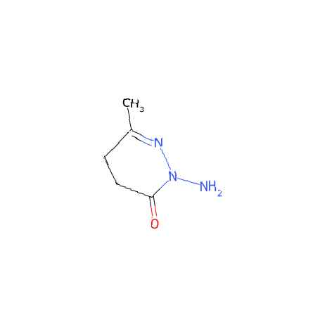 CC1=NN(N)C(=O)CC1